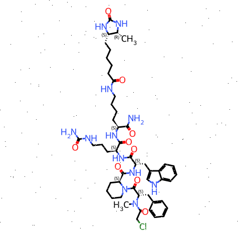 C[C@H]1NC(=O)N[C@H]1CCCCCC(=O)NCCCC[C@H](NC(=O)[C@H](CCCNC(N)=O)NC(=O)[C@H](Cc1c[nH]c2ccccc12)NC(=O)[C@@H]1CCCCN1C(=O)[C@H](Cc1ccccc1)N(C)C(=O)CCl)C(N)=O